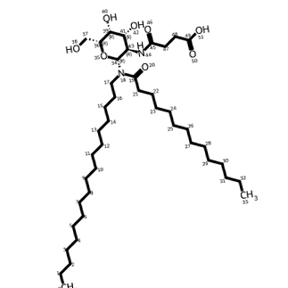 CCCCCCCCCCCCCCCCCCN(C(=O)CCCCCCCCCCCCC)[C@@H]1O[C@H](CO)[C@H](O)[C@H](O)[C@H]1NC(=O)CCC(=O)O